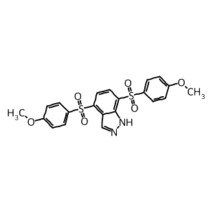 COc1ccc(S(=O)(=O)c2ccc(S(=O)(=O)c3ccc(OC)cc3)c3[nH]ncc23)cc1